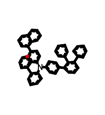 c1ccc(-c2ccccc2N(c2ccc(-c3cccc(-c4ccccc4)c3-c3ccccc3)cc2)c2ccc(-c3cccc4ccccc34)cc2)cc1